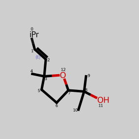 CC(C)/C=C/C1(C)CCC(C(C)(C)O)O1